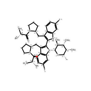 CC(=O)O[C@@H]1[C@H](OC(C)=O)[C@H](C)O[C@H](n2c(-c3[nH]c4cc(F)ccc4c3C[C@@H]3CCCN3C(=O)[C@@H](N)C(C)C)c(C[C@@H]3CCCN3C(=O)[C@@H](N)C(C)C)c3ccc(F)cc32)[C@H]1OC(C)=O